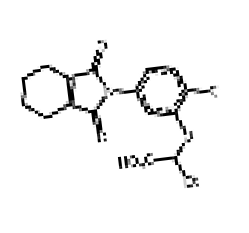 CCC(Oc1cc(N2C(=O)C3=C(CCCC3)C2=O)ccc1Cl)C(=O)O